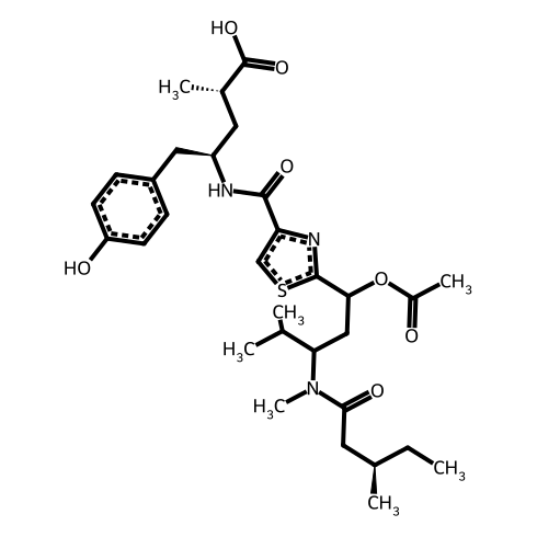 CC[C@@H](C)CC(=O)N(C)C(CC(OC(C)=O)c1nc(C(=O)N[C@@H](Cc2ccc(O)cc2)C[C@H](C)C(=O)O)cs1)C(C)C